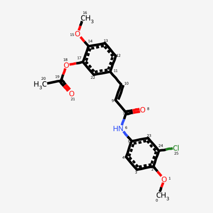 COc1ccc(NC(=O)C=Cc2ccc(OC)c(OC(C)=O)c2)cc1Cl